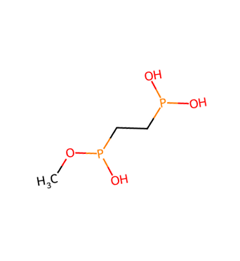 COP(O)CCP(O)O